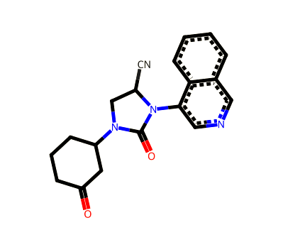 N#CC1CN(C2CCCC(=O)C2)C(=O)N1c1cncc2ccccc12